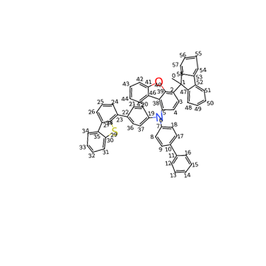 CC1(c2ccc(N(c3ccc(-c4ccccc4)cc3)c3ccc(-c4cccc5c4sc4ccccc45)cc3)c3c2oc2ccccc23)c2ccccc2-c2ccccc21